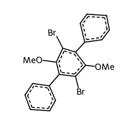 COc1c(Br)c(-c2ccccc2)c(OC)c(Br)c1-c1ccccc1